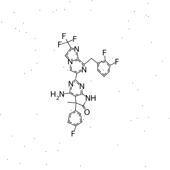 CC1(c2ccc(F)cc2)C(=O)Nc2nc(-c3cn4cc(C(F)(F)F)nc4c(Cc4cccc(F)c4F)n3)nc(N)c21